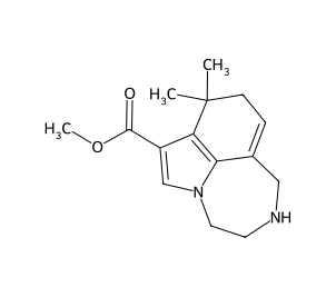 COC(=O)c1cn2c3c1C(C)(C)CC=C3CNCC2